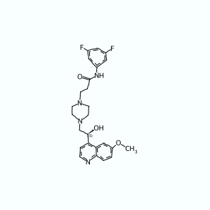 COc1ccc2nccc([C@H](O)CN3CCN(CCC(=O)Nc4cc(F)cc(F)c4)CC3)c2c1